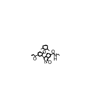 C=CC(=O)c1ccc(Oc2c(C)cccc2C)c(-c2cn(C)c(=O)c3cc(C(=O)NCC)ccc23)c1